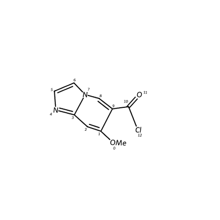 COc1cc2nccn2cc1C(=O)Cl